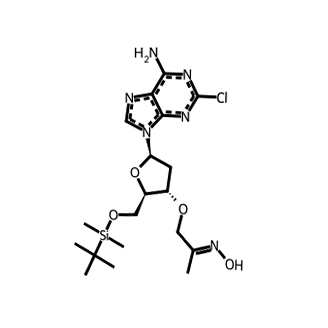 CC(CO[C@H]1C[C@H](n2cnc3c(N)nc(Cl)nc32)O[C@@H]1CO[Si](C)(C)C(C)(C)C)=NO